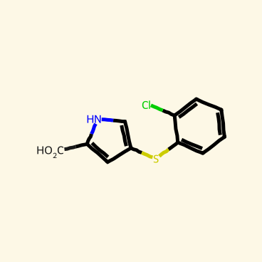 O=C(O)c1cc(Sc2ccccc2Cl)c[nH]1